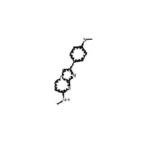 CNc1ccn2cc(-c3ccc(SC)cc3)nc2n1